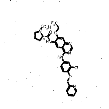 O=C(Nc1cc2c(Nc3ccc(OCc4ccccn4)c(Cl)c3)ncnc2cc1OCC(F)(F)F)[C@@H]1CCCN1C(=O)O